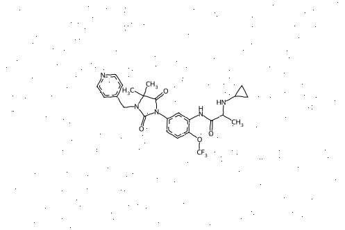 CC(NC1CC1)C(=O)Nc1cc(N2C(=O)N(Cc3ccncc3)C(C)(C)C2=O)ccc1OC(F)(F)F